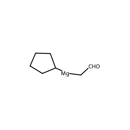 O=C[CH2][Mg][CH]1CCCC1